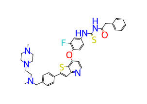 CN1CCN(CCN(C)Cc2ccc(-c3cc4nccc(Oc5ccc(NC(=S)NC(=O)Cc6ccccc6)cc5F)c4s3)cc2)CC1